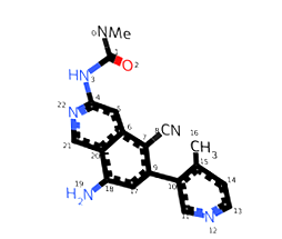 CNC(=O)Nc1cc2c(C#N)c(-c3cnccc3C)cc(N)c2cn1